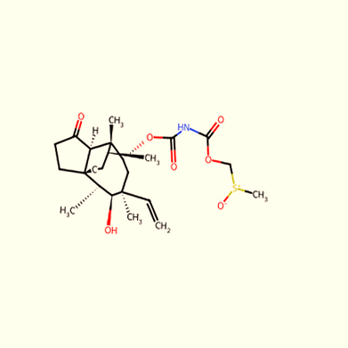 C=C[C@]1(C)C[C@@H](OC(=O)NC(=O)OC[S+](C)[O-])[C@]2(C)[C@H](C)CC[C@]3(CCC(=O)[C@H]32)[C@@H](C)[C@@H]1O